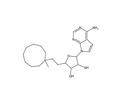 CC1(CCC2OC(n3ccc4c(N)ncnc43)C(O)C2O)CCCCCCCC1